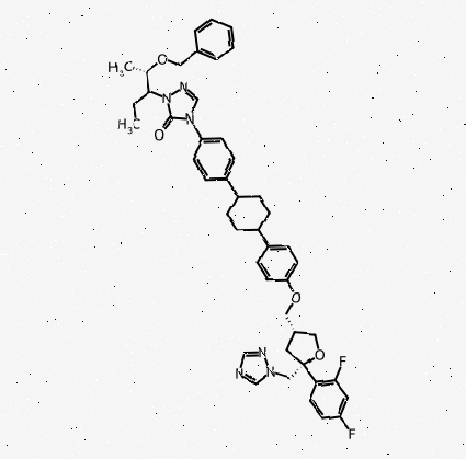 CCC([C@H](C)OCc1ccccc1)n1ncn(-c2ccc(C3CCC(c4ccc(OC[C@@H]5CO[C@@](Cn6cncn6)(c6ccc(F)cc6F)C5)cc4)CC3)cc2)c1=O